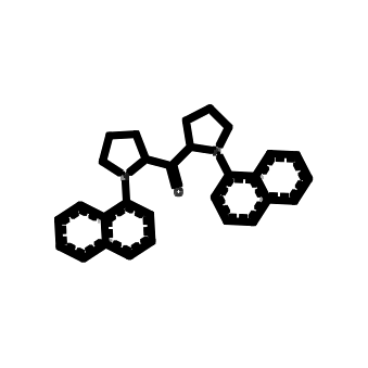 O=C(C1CCCN1c1cccc2ccccc12)C1CCCN1c1cccc2ccccc12